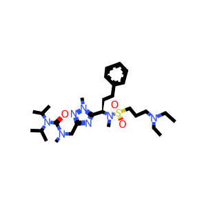 CCN(CC)CCCS(=O)(=O)N(C)[C@H](CCc1ccccc1)c1nc(CN(C)C(=O)N(C(C)C)C(C)C)nn1C